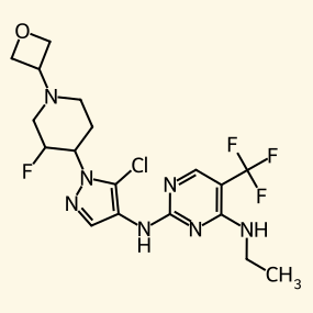 CCNc1nc(Nc2cnn(C3CCN(C4COC4)CC3F)c2Cl)ncc1C(F)(F)F